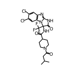 CC(C)CC(=O)N1CCC(C(=O)NC2(C(F)(F)F)C(=O)Nc3nc4cc(Cl)c(Cl)cc4n32)CC1